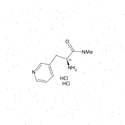 CNC(=O)[C@@H](N)Cc1cccnc1.Cl.Cl